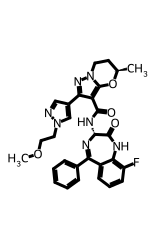 COCCn1cc(-c2nn3c(c2C(=O)N[C@H]2N=C(c4ccccc4)c4cccc(F)c4NC2=O)O[C@H](C)CC3)cn1